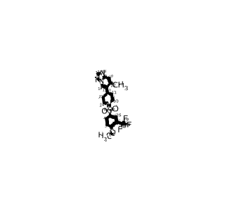 COc1ccc(S(=O)(=O)N2CCC(c3cn4ncnc4cc3C)CC2)cc1C(F)(F)F